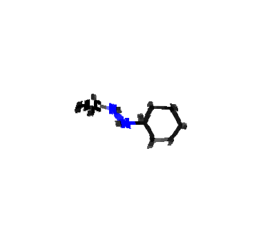 C/N=N/C1CCCCC1